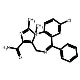 CC1=NC(C(N)=O)=C2CN=C(c3ccccc3)c3cc(Cl)ccc3[N+]12C